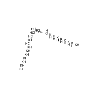 Cl.Cl.Cl.Cl.Cl.Cl.Cl.Cl.[KH].[KH].[KH].[KH].[KH].[KH].[KH].[KH].[KH].[KH].[KH].[KH].[KH].[KH].[KH]